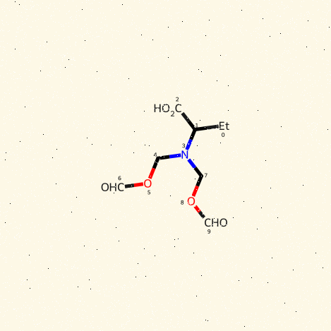 CCC(C(=O)O)N(COC=O)COC=O